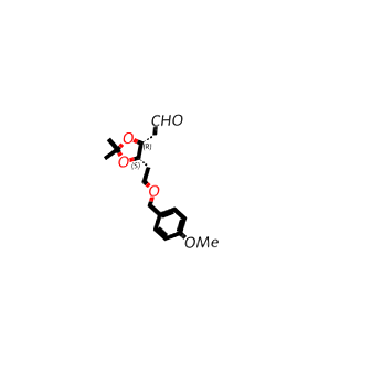 COc1ccc(COCC[C@@H]2OC(C)(C)O[C@@H]2CC=O)cc1